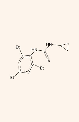 CCc1cc(CC)c(NC(=S)NC2CC2)c(CC)c1